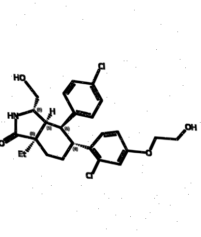 CC[C@@]12CC[C@@H](c3ccc(OCCO)cc3Cl)[C@H](c3ccc(Cl)cc3)[C@@H]1[C@@H](CO)NC2=O